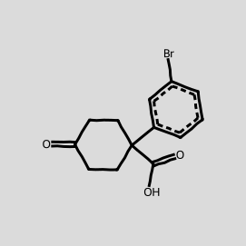 O=C1CCC(C(=O)O)(c2cccc(Br)c2)CC1